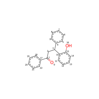 O=C(CC(c1ccccc1)c1ccccc1O)c1ccccc1